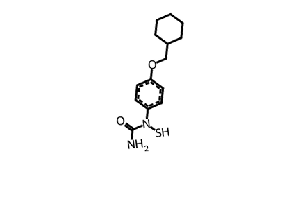 NC(=O)N(S)c1ccc(OCC2CCCCC2)cc1